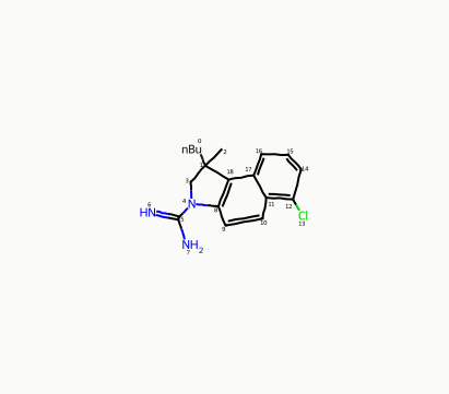 CCCCC1(C)CN(C(=N)N)c2ccc3c(Cl)cccc3c21